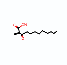 C=C(C(=O)O)C(=O)CCCCCCCCC